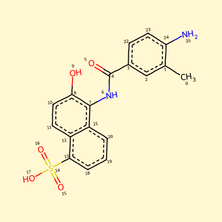 Cc1cc(C(=O)Nc2c(O)ccc3c(S(=O)(=O)O)cccc23)ccc1N